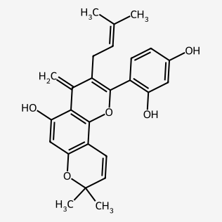 C=C1C(CC=C(C)C)=C(c2ccc(O)cc2O)Oc2c3c(cc(O)c21)OC(C)(C)C=C3